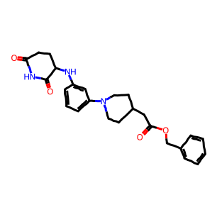 O=C1CCC(Nc2cccc(N3CCC(CC(=O)OCc4ccccc4)CC3)c2)C(=O)N1